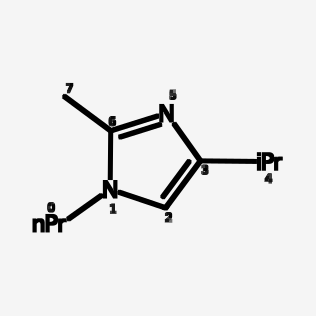 CCCn1cc(C(C)C)nc1C